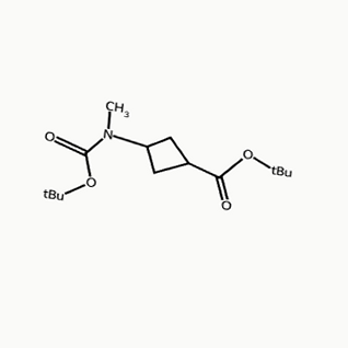 CN(C(=O)OC(C)(C)C)C1CC(C(=O)OC(C)(C)C)C1